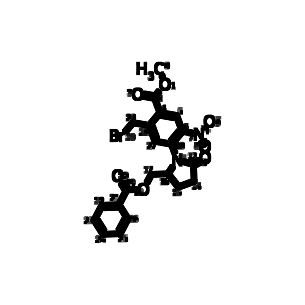 COC(=O)c1cc([N+](=O)[O-])c(N2C(=O)CCC2COC(=O)c2ccccc2)cc1CBr